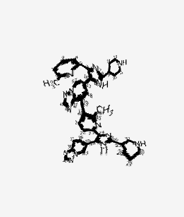 Cc1cccc(-c2nc(C3CCNCC3)[nH]c2-c2cc(-c3ccc(-c4nc(C5CCCNC5)[nH]c4-c4ccc5ncnn5c4)nc3C)c3ncnn3c2)n1